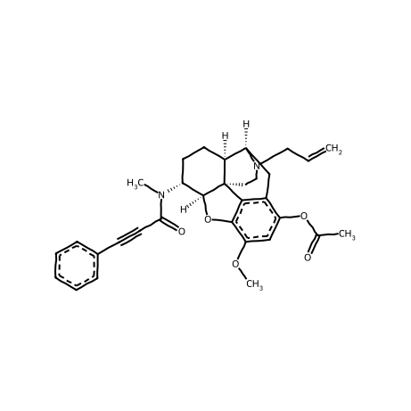 C=CCN1CC[C@]23c4c5c(OC(C)=O)cc(OC)c4O[C@H]2[C@H](N(C)C(=O)C#Cc2ccccc2)CC[C@H]3[C@H]1C5